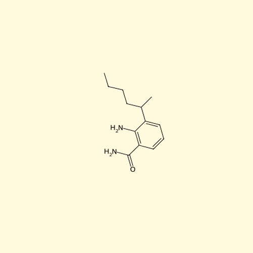 CCCCC(C)c1cccc(C(N)=O)c1N